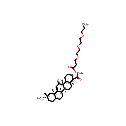 COCCOCCOCCOCCC(=O)O[C@H]1CC[C@@]2(C)[C@@H](CC[C@]3(C)[C@@H]2C(=O)C=C2[C@@H]4C[C@@](C)(C(=O)O)CC[C@]4(C)CC[C@]23C)[C@]1(C)C(=O)OC